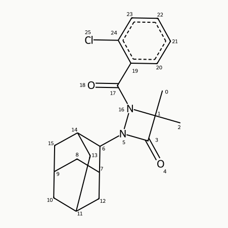 CC1(C)C(=O)N(C2C3CC4CC(C3)CC2C4)N1C(=O)c1ccccc1Cl